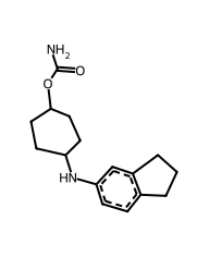 NC(=O)OC1CCC(Nc2ccc3c(c2)CCC3)CC1